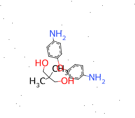 CC(C)(CO)CO.Nc1ccc(Oc2ccc(N)cc2)cc1